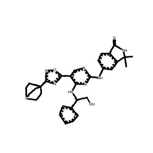 CC1(C)NC(=O)c2ccc(Nc3ncc(-c4nc(C56CCN(CC5)CC6)no4)c(NC(CO)c4ccccc4)n3)cc21